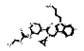 COCCCn1cc(CN(C(=O)[C@@H]2CNC[C@H](NC(=O)OCC(C)(C)C)C2)C2CC2)c2ccccc21